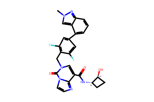 Cn1cc2c(-c3cc(F)c(Cn4cc(C(=O)N[C@H]5CC[C@@H]5O)c5nccn5c4=O)c(F)c3)cccc2n1